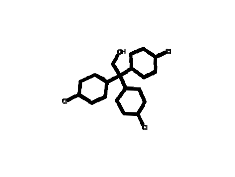 OCC(C1CCC(Cl)CC1)(C1CCC(Cl)CC1)C1CCC(Cl)CC1